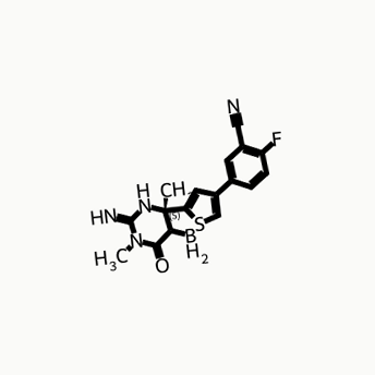 BC1C(=O)N(C)C(=N)N[C@]1(C)c1cc(-c2ccc(F)c(C#N)c2)cs1